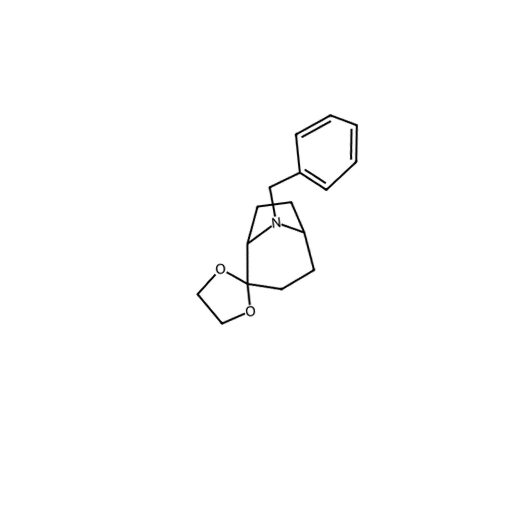 c1ccc(CN2C3CCC2C2(CC3)OCCO2)cc1